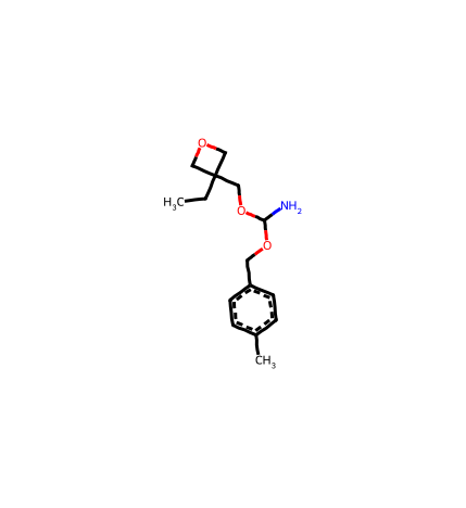 CCC1(COC(N)OCc2ccc(C)cc2)COC1